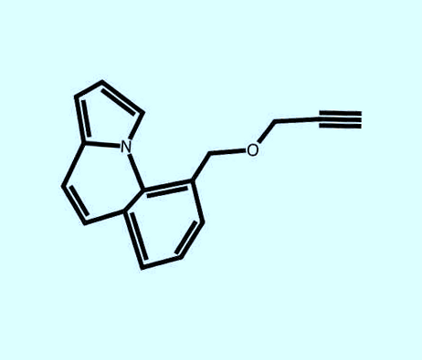 C#CCOCc1cccc2ccc3cccn3c12